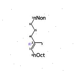 CCCCCCCC/C=C(\C)CCCCCCCCCCCC